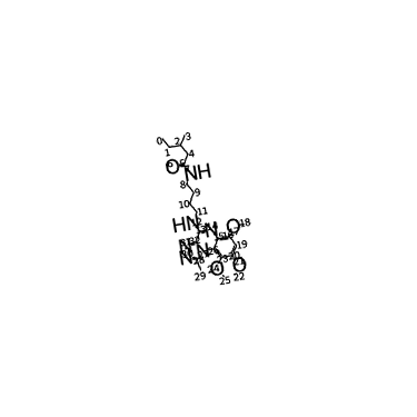 CCC(C)CC(=O)NCCCCNc1nc2c(OC)cc(OC)c(OC)c2n2c(C)nnc12